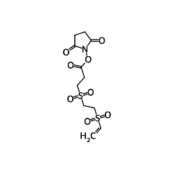 C=CS(=O)(=O)CCS(=O)(=O)CCC(=O)ON1C(=O)CCC1=O